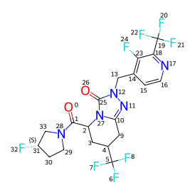 O=C(C1CC(C(F)(F)F)Cc2nn(Cc3ccnc(C(F)(F)F)c3F)c(=O)n21)N1CC[C@H](F)C1